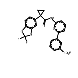 O=C(O)c1cccc(-c2cccc(NC(=O)C3(c4ccc5c(c4)OC(F)(F)O5)CC3)n2)c1